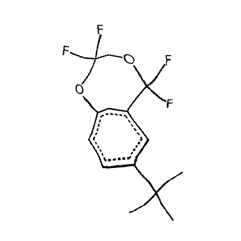 CC(C)(C)c1ccc2c(c1)C(F)(F)OC(F)(F)O2